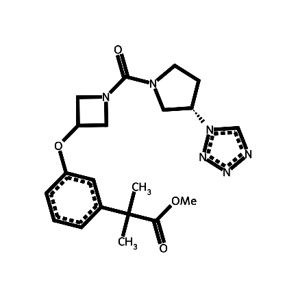 COC(=O)C(C)(C)c1cccc(OC2CN(C(=O)N3CC[C@H](n4cnnn4)C3)C2)c1